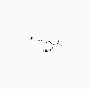 C=C(C)[C@@H](C=N)CCCCN